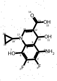 Nc1c(F)c(F)c(O)c2c1C(O)C(C(=O)O)=CN2C1CC1